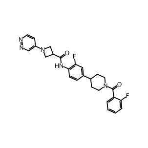 O=C(Nc1ccc(C2CCN(C(=O)c3ccccc3F)CC2)cc1F)C1CN(c2ccnnc2)C1